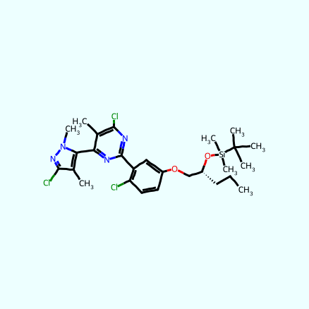 CCC[C@H](COc1ccc(Cl)c(-c2nc(Cl)c(C)c(-c3c(C)c(Cl)nn3C)n2)c1)O[Si](C)(C)C(C)(C)C